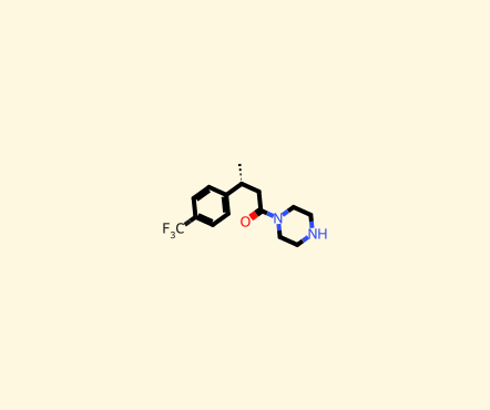 C[C@H](CC(=O)N1CCNCC1)c1ccc(C(F)(F)F)cc1